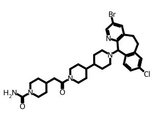 NC(=O)N1CCC(CC(=O)N2CCC(C3CCN(C4c5ccc(Cl)cc5CCc5cc(Br)cnc54)CC3)CC2)CC1